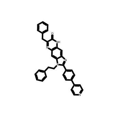 O=c1[nH]c2cc3nc(-c4ccc(-c5ccncc5)cc4)n(CCc4ccccc4)c3cc2nc1Cc1ccccc1